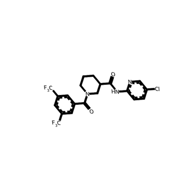 O=C(Nc1ccc(Cl)cn1)C1CCCN(C(=O)c2cc(C(F)(F)F)cc(C(F)(F)F)c2)C1